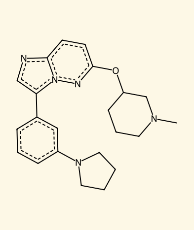 CN1CCCC(Oc2ccc3ncc(-c4cccc(N5CCCC5)c4)n3n2)C1